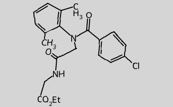 CCOC(=O)CNC(=O)CN(C(=O)c1ccc(Cl)cc1)c1c(C)cccc1C